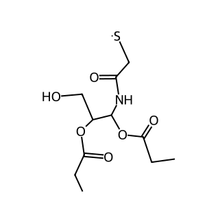 CCC(=O)OC(CO)C(NC(=O)C[S])OC(=O)CC